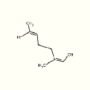 CC/C(C)=C\CC/C(C)=C\C#N